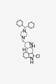 CN1C[C@H](CN2CCN(C(c3ccccc3)c3ccccc3)CC2)C[C@@H]2c3cccc4[nH]c(Cl)c(c34)C[C@H]21